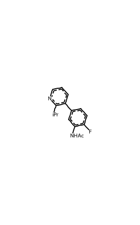 CC(=O)Nc1cc(-c2cccnc2C(C)C)ccc1F